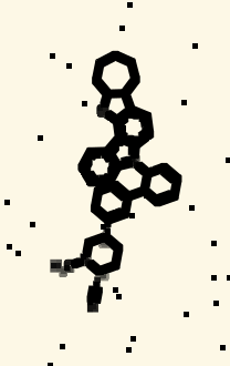 CN1C[C@H](C2=CC(C3C=CC=CC3n3c4ccccc4c4c5c(ccc43)C3CCCCCC3O5)=CCC2)CC[C@@H]1C#N